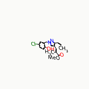 C/C=C\c1nn(Cc2cc(Cl)ccc2O)cc1/C=C(\C)C(=O)OC